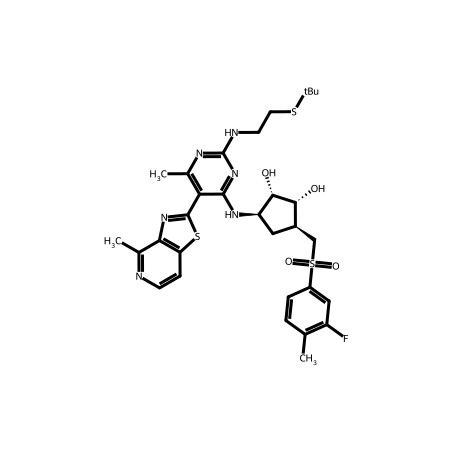 Cc1ccc(S(=O)(=O)C[C@H]2C[C@@H](Nc3nc(NCCSC(C)(C)C)nc(C)c3-c3nc4c(C)nccc4s3)[C@H](O)[C@@H]2O)cc1F